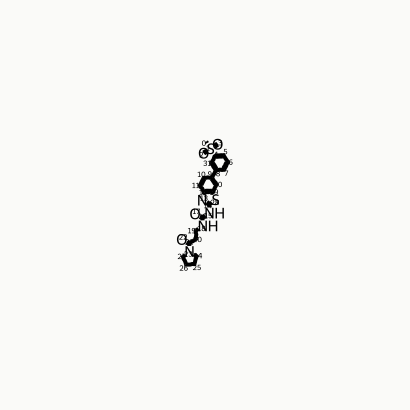 CS(=O)(=O)c1cccc(-c2ccc3nc(NC(=O)NCCC(=O)N4CCCC4)sc3c2)c1